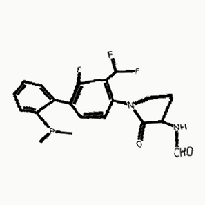 CP(C)c1ccccc1-c1ccc(N2CCC(NC=O)C2=O)c(C(F)F)c1F